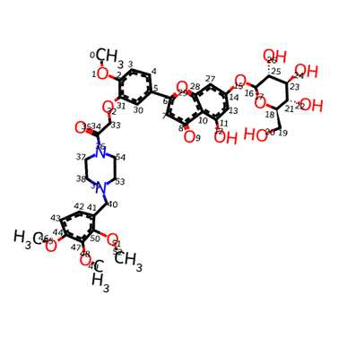 COc1ccc(-c2cc(=O)c3c(O)cc(OC4O[C@H](CO)[C@@H](O)[C@H](O)[C@H]4O)cc3o2)cc1OCC(=O)N1CCN(Cc2ccc(OC)c(OC)c2OC)CC1